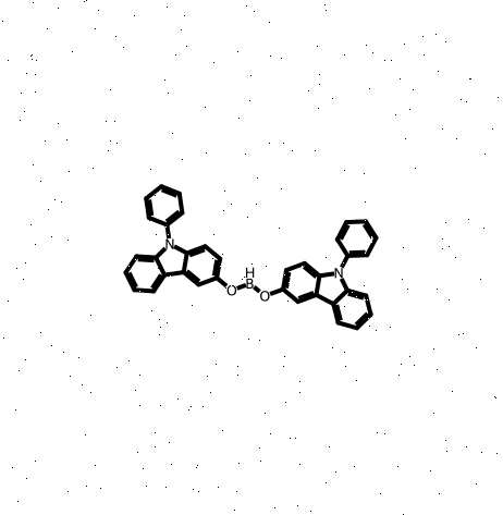 B(Oc1ccc2c(c1)c1ccccc1n2-c1ccccc1)Oc1ccc2c(c1)c1ccccc1n2-c1ccccc1